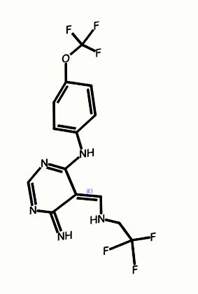 N=C1N=CN=C(Nc2ccc(OC(F)(F)F)cc2)/C1=C/NCC(F)(F)F